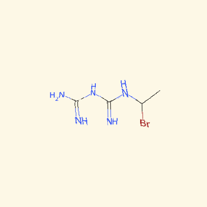 CC(Br)NC(=N)NC(=N)N